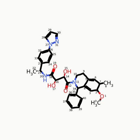 COC1C=C2C(=CC1C)CCN(C(=O)[C@H](O)[C@@H](O)C(=O)N[C@H](C)c1ccc(-n3cccn3)cc1)C2c1ccccc1